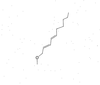 CCCCCC=CC=CCOC